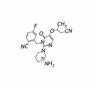 CC(CC#N)Oc1cnc(N2CCC[C@@H](N)C2)n(Cc2cc(F)ccc2C#N)c1=O